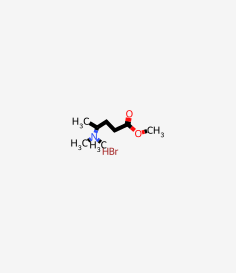 Br.COC(=O)CCC(C)N(C)C